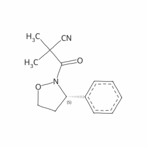 CC(C)(C#N)C(=O)N1OCC[C@H]1c1ccccc1